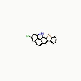 Brc1cc2ccc3cc4c5ccccc5sc4c4[nH]c(c1)c2c34